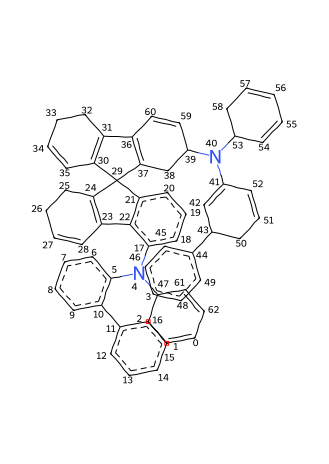 C1=CCC(N(c2ccccc2-c2ccccc2)c2cccc3c2C2=C(CCC=C2)C32C3=C(CCC=C3)C3=C2CC(N(C2=CC(c4ccccc4)CC=C2)C2C=CC=CC2)C=C3)C=C1